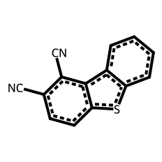 N#Cc1ccc2sc3ccccc3c2c1C#N